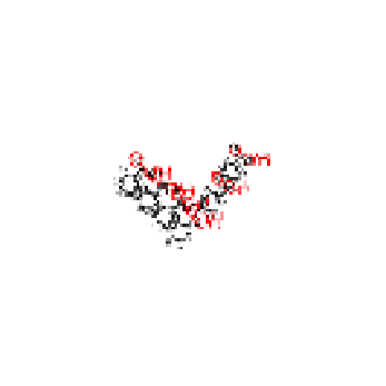 O=C(O)c1ccccc1.O=C(O)c1ccccc1.O=C(O)c1ccccc1.O=C(O)c1ccccc1.O=C(O)c1ccccc1.O=C(O)c1ccccc1